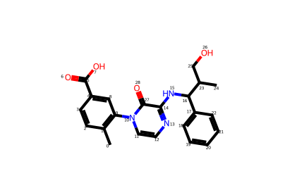 Cc1ccc(C(=O)O)cc1-n1ccnc(NC(c2ccccc2)C(C)CO)c1=O